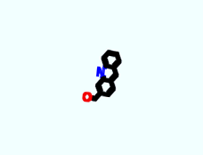 O=Cc1ccc2cc3ccccc3nc2c1